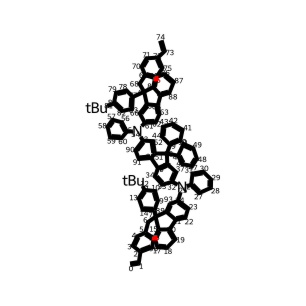 C=Cc1ccc(CC2(c3ccc(C(C)(C)C)cc3)c3ccccc3-c3ccc(N(c4ccccc4)c4ccc5c(c4)C(c4ccccc4)(c4ccccc4)c4cc(N(c6ccccc6)c6ccc7c(c6)C(Cc6ccc(C=C)cc6)(c6ccc(C(C)(C)C)cc6)c6ccccc6-7)ccc4-5)cc32)cc1